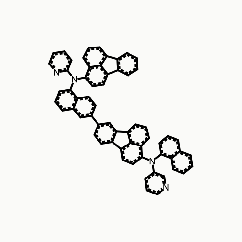 c1ccc(N(c2cccc3cc(-c4ccc5c(c4)-c4cccc6c(N(c7cccnc7)c7cccc8ccccc78)ccc-5c46)ccc23)c2ccc3c4c(cccc24)-c2ccccc2-3)nc1